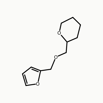 c1coc(COCC2CCCCO2)c1